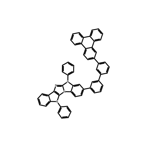 c1ccc(-n2c3cc(-c4cccc(-c5cccc(-c6ccc7c8ccccc8c8ccccc8c7c6)c5)c4)ccc3n3c2nc2c4ccccc4n(-c4ccccc4)c23)cc1